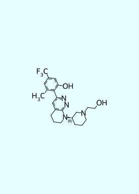 Cc1cc(C(F)(F)F)cc(O)c1-c1cc2c(nn1)N([C@@H]1CCCN(CCO)C1)CCC2